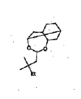 [CH2]CC(C)(C)C[C]1OC2CC3CCC2CC3O1